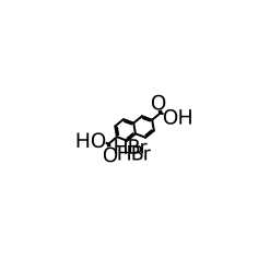 Br.Br.O=C(O)c1ccc2cc(C(=O)O)ccc2c1